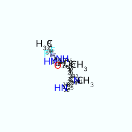 CCCC(F)(F)/C=C/C(=N)NC(=O)c1ccc(C)c(C#CC2=CC(C3CCNC3)=CN(C)C2)c1